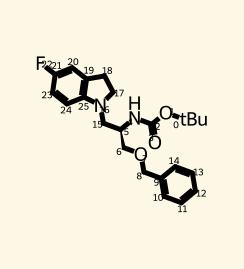 CC(C)(C)OC(=O)N[C@@H](COCc1ccccc1)CN1CCc2cc(F)ccc21